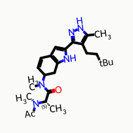 CC(=O)N(C)[C@@H](C)C(=O)N(C)C1C=Cc2cc(-c3n[nH]c(C)c3CCC(C)(C)C)[nH]c2C1